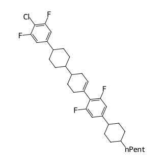 CCCCCC1CCC(c2cc(F)c(C3=CCC(C4CCC(c5cc(F)c(Cl)c(F)c5)CC4)CC3)c(F)c2)CC1